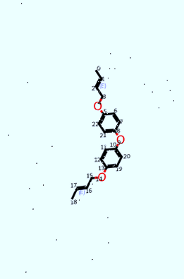 C/C=C/COc1ccc(Oc2ccc(OC/C=C/C)cc2)cc1